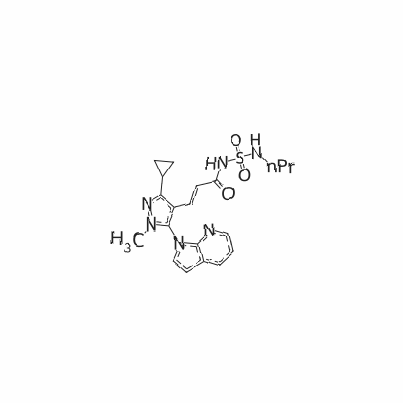 CCCNS(=O)(=O)NC(=O)C=Cc1c(C2CC2)nn(C)c1-n1ccc2cccnc21